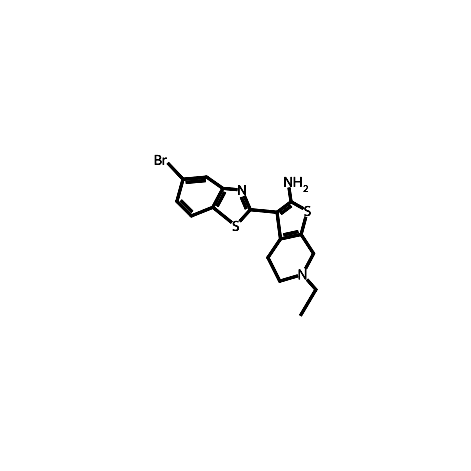 CCN1CCc2c(sc(N)c2-c2nc3cc(Br)ccc3s2)C1